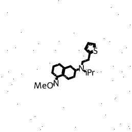 CON=C1CCCC2=C1CCC(N(CCc1cccs1)C(C)C)C2